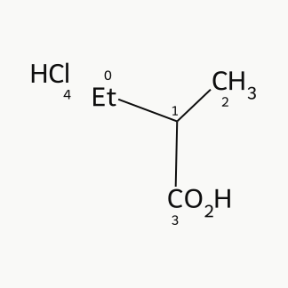 CCC(C)C(=O)O.Cl